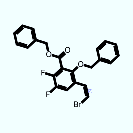 O=C(OCc1ccccc1)c1c(F)c(F)cc(/C=C\Br)c1OCc1ccccc1